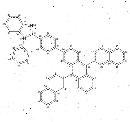 C1=CC(c2c3ccccc3c(-c3ccc4ccccc4c3)c3ccc(-c4ccc(-c5nc6ccccc6n5-c5ccccc5)cc4)cc23)Cc2ccccc21